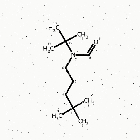 CC(C)(C)CCCN(C=O)C(C)(C)C